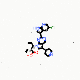 C=C[C@H]([C@@H](C=C)C(=O)O)n1cc(-c2ccncc2)c2cnc(-c3c[nH]c4ncc(Cl)cc34)nc21